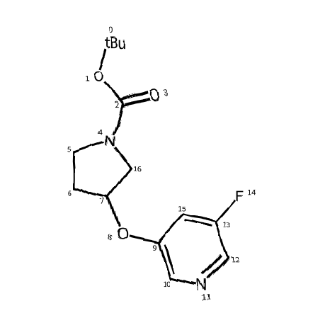 CC(C)(C)OC(=O)N1CCC(Oc2cncc(F)c2)C1